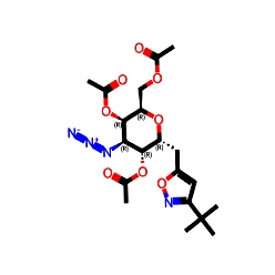 CC(=O)OC[C@H]1O[C@H](Cc2cc(C(C)(C)C)no2)[C@H](OC(C)=O)[C@@H](N=[N+]=[N-])[C@H]1OC(C)=O